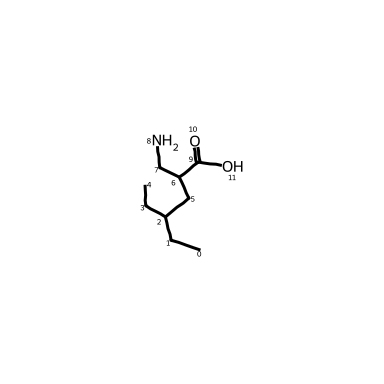 CCC(CC)CC(CN)C(=O)O